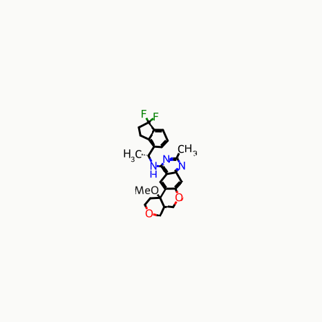 COC12CCOCC1COc1cc3nc(C)nc(N[C@H](C)c4cccc5c4CCC5(F)F)c3cc12